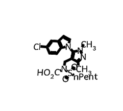 CCCCCS(=O)(=O)N(Cc1c(C)nn(C)c1-n1ccc2cc(Cl)ccc21)C(=O)O